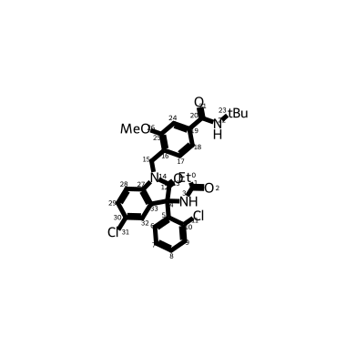 CCC(=O)NC1(c2ccccc2Cl)C(=O)N(Cc2ccc(C(=O)NC(C)(C)C)cc2OC)c2ccc(Cl)cc21